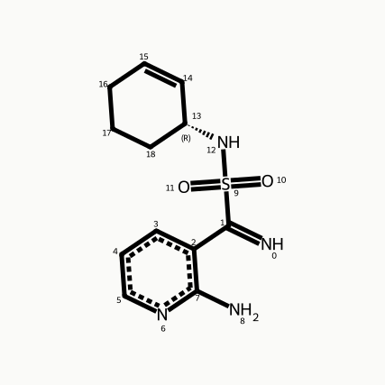 N=C(c1cccnc1N)S(=O)(=O)N[C@H]1C=CCCC1